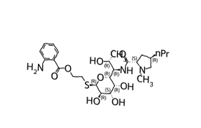 CCC[C@@H]1C[C@@H](C(=O)N[C@@H]([C@H]2O[C@H](SCCOC(=O)c3ccccc3N)[C@H](O)[C@@H](O)[C@H]2O)[C@@H](C)O)N(C)C1